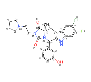 C[C@@]12Cc3c([nH]c4cc(F)c(Cl)cc34)[C@@H](c3cccc(O)c3)N1C(=O)N(CCN1CCCC1)C2=O